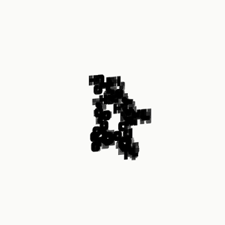 CCNc1nc(Cl)nc(NC(C)C)n1.CCOC(=O)COC(=O)c1cc(Oc2ccc(C(F)(F)F)cc2Cl)ccc1[N+](=O)[O-].CP(=O)(O)CCC(N)C(=O)O